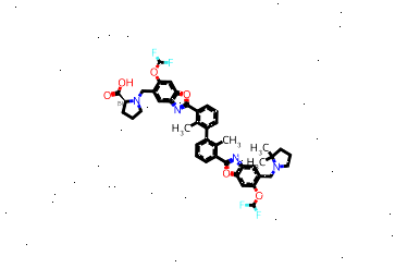 Cc1c(-c2nc3cc(CN4CCC[C@H]4C(=O)O)c(OC(F)F)cc3o2)cccc1-c1cccc(-c2nc3cc(CN4CCCC4(C)C)c(OC(F)F)cc3o2)c1C